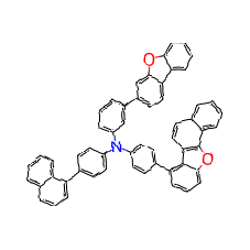 c1cc(-c2ccc3c(c2)oc2ccccc23)cc(N(c2ccc(-c3cccc4ccccc34)cc2)c2ccc(-c3cccc4oc5c6ccccc6ccc5c34)cc2)c1